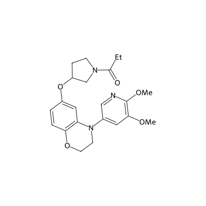 CCC(=O)N1CCC(Oc2ccc3c(c2)N(c2cnc(OC)c(OC)c2)CCO3)C1